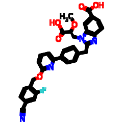 CO[C@@H](Cn1c(Cc2ccc(-c3cccc(OCc4ccc(C#N)cc4F)n3)cc2)nc2ccc(C(=O)O)cc21)C(=O)O